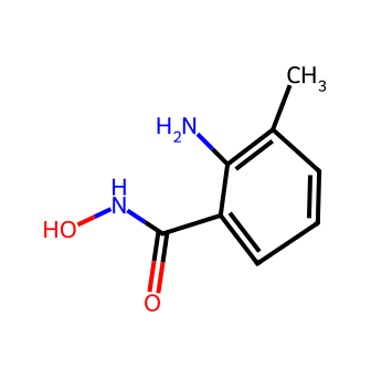 Cc1cccc(C(=O)NO)c1N